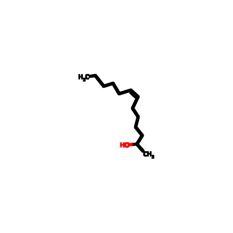 CCCCC/C=C\CCCCC(C)O